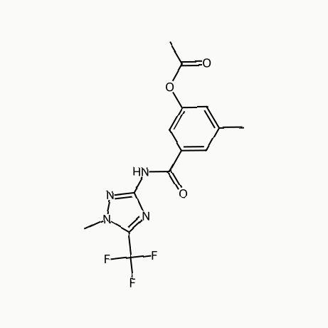 CC(=O)Oc1cc(C)cc(C(=O)Nc2nc(C(F)(F)F)n(C)n2)c1